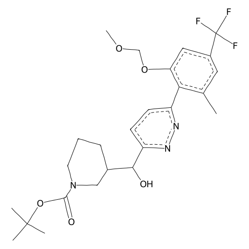 COCOc1cc(C(F)(F)F)cc(C)c1-c1ccc(C(O)C2CCCN(C(=O)OC(C)(C)C)C2)nn1